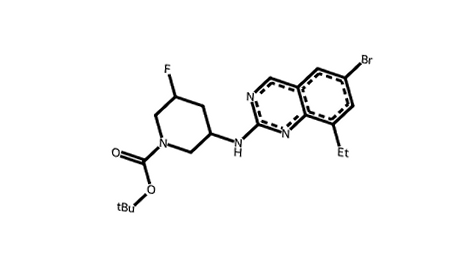 CCc1cc(Br)cc2cnc(NC3CC(F)CN(C(=O)OC(C)(C)C)C3)nc12